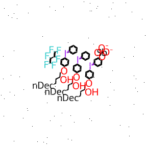 CCCCCCCCCCCCC(O)COc1ccc([I+]c2ccccc2)cc1.CCCCCCCCCCCCC(O)COc1ccc([I+]c2ccccc2)cc1.CCCCCCCCCCCCC(O)COc1ccc([I+]c2ccccc2)cc1.FC(F)=C(F)C(F)=C(F)F.[O]=[Sb]([O-])([O-])[O-]